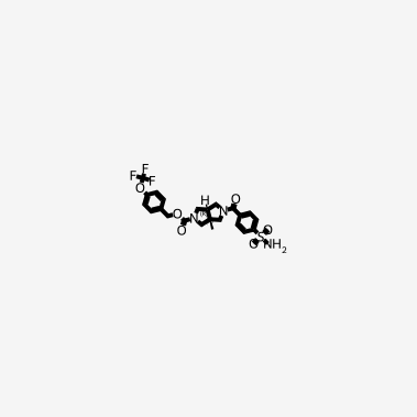 C[C@@]12CN(C(=O)OCc3ccc(OC(F)(F)F)cc3)C[C@H]1CN(C(=O)c1ccc(S(N)(=O)=O)cc1)C2